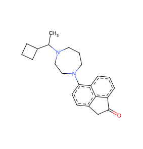 CC(C1CCC1)N1CCCN(c2ccc3c4c(cccc24)C(=O)C3)CC1